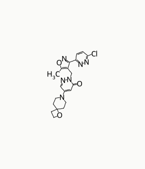 Cc1onc(-c2ccc(Cl)nn2)c1Cn1ncc(N2CCC3(CCO3)CC2)cc1=O